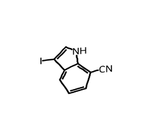 N#Cc1cccc2c(I)c[nH]c12